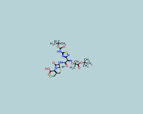 CC(C)(C)OC(=O)Nc1nc(/C(=N/OC(C)(C)C(=O)OC(C)(C)C)C(=O)N[C@@H]2C(=O)N3C(C(=O)O)=C(CCl)CS[C@H]23)ns1